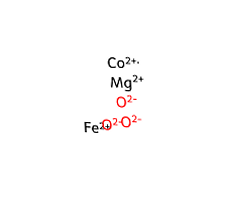 [Co+2].[Fe+2].[Mg+2].[O-2].[O-2].[O-2]